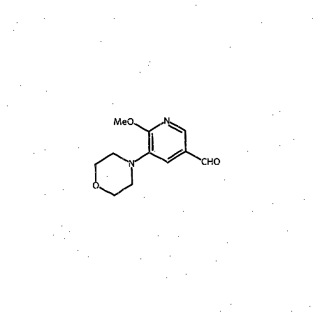 COc1ncc(C=O)cc1N1CCOCC1